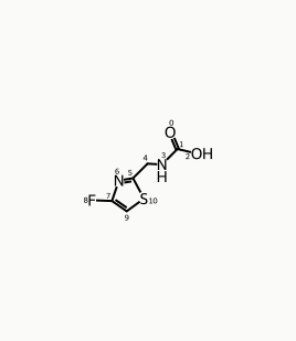 O=C(O)NCc1nc(F)cs1